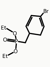 CCOP(=O)(CC1C=CC(Br)=CC1)OCC